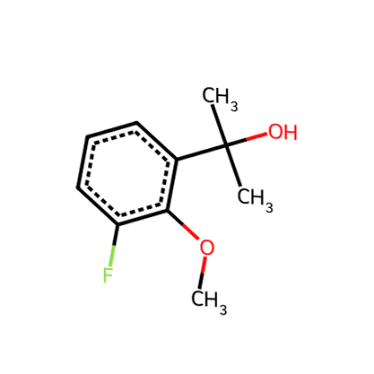 COc1c(F)cccc1C(C)(C)O